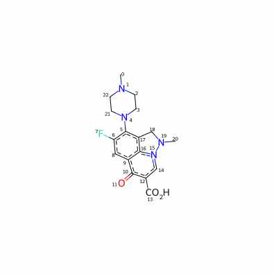 CN1CCN(c2c(F)cc3c(=O)c(C(=O)O)cn4c3c2CN4C)CC1